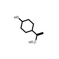 C=C(C(=O)O)C1CCC(O)CC1